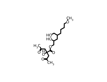 COCCCCC(CO)CC(O)COC(=O)C(O)(CC(C)=O)CC(C)=O